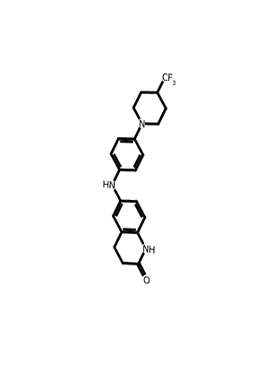 O=C1CCc2cc(Nc3ccc(N4CCC(C(F)(F)F)CC4)cc3)ccc2N1